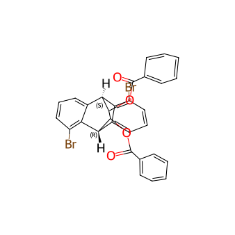 O=C(OC1C(OC(=O)c2ccccc2)[C@H]2c3cccc(Br)c3[C@H]1c1cccc(Br)c12)c1ccccc1